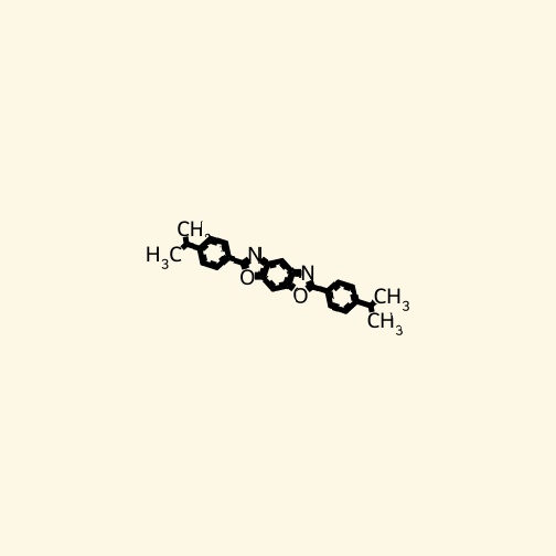 CC(C)c1ccc(-c2nc3cc4nc(-c5ccc(C(C)C)cc5)oc4cc3o2)cc1